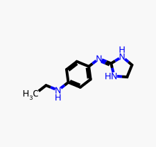 CCNc1ccc(N=C2NCCN2)cc1